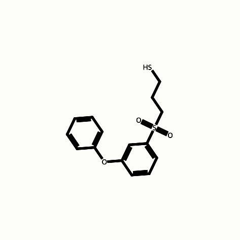 O=S(=O)(CCCS)c1cccc(Oc2ccccc2)c1